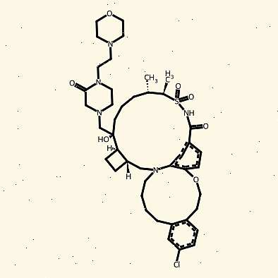 C[C@@H]1[C@@H](C)CCC[C@@](O)(CN2CCN(CCN3CCOCC3)C(=O)C2)[C@@H]2CC[C@H]2CN2CCCCc3cc(Cl)ccc3CCOc3ccc(cc32)C(=O)NS1(=O)=O